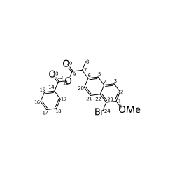 COc1ccc2cc(C(C)C(=O)OC(=O)c3ccccc3)ccc2c1Br